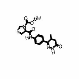 CC1CC(=O)NN=C1c1ccc(NC(=O)C2CSCN2C(=O)OC(C)(C)C)cc1